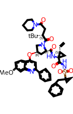 C=C[C@@H]1C[C@]1(NC(=O)[C@@H]1C[C@@H](Oc2cc(-c3ccccc3)nc3cc(OC)ccc23)CN1C(=O)[C@@H](CC(=O)N1CCCCC1)C(C)(C)C)C(=O)NS(=O)(=O)C1(Cc2ccccc2)CC1